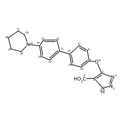 O=C(O)c1[nH]nnc1Oc1ccc(-c2ccc(N3CCCCC3)cc2)cc1